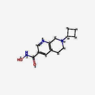 O=C(NO)c1cnc2c(c1)CCN(C1CCC1)C2